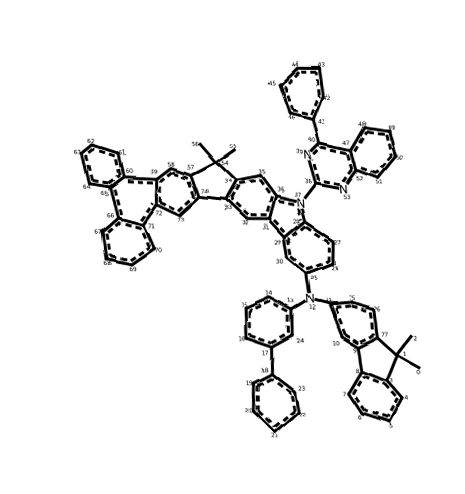 CC1(C)c2ccccc2-c2cc(N(c3cccc(-c4ccccc4)c3)c3ccc4c(c3)c3cc5c(cc3n4-c3nc(-c4ccccc4)c4ccccc4n3)C(C)(C)c3cc4c6ccccc6c6ccccc6c4cc3-5)ccc21